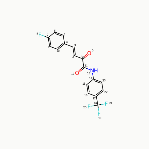 O=C(C=Cc1ccc(F)cc1)C(=O)Nc1ccc(C(F)(F)F)cc1